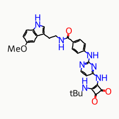 COc1ccc2[nH]cc(CCNC(=O)c3ccc(Nc4nccc(Nc5c(NC(C)(C)C)c(=O)c5=O)n4)cc3)c2c1